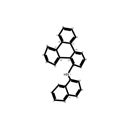 c1ccc2c(Nc3cccc4c5ccccc5c5ccccc5c34)cccc2c1